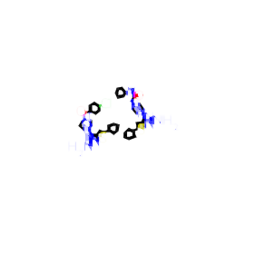 CN(C(=O)CN1CCN(c2nc(N)nc3sc(-c4ccccc4)cc23)CC1)c1ccccc1.Nc1nc(N2CCCN(C(=O)c3ccc(Cl)cc3)CC2)c2cc(-c3ccccc3)sc2n1